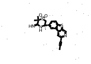 CC#Cc1cc2c(cn1)sc1ccc([C@]3(C)CS(=O)(=O)C(C)(C)C(=N)N3)cc12